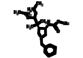 C[SiH2]OC(O[SiH2]C)C(C)(C)[C@H]1CN(Cc2ccccc2)C[C@@H]1NC(=O)OC(C)(C)C